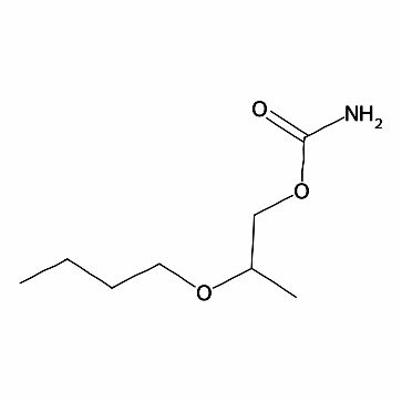 CCCCOC(C)COC(N)=O